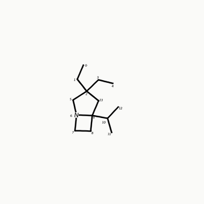 CCC1(CC)CN2CCC2(C(C)C)C1